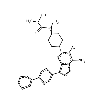 CC(=O)c1c(N)n2ncc(-c3ccc(-c4ccccc4)nc3)c2nc1[C@H]1CC[C@H](N(C)C(=O)[C@@H](C)O)CC1